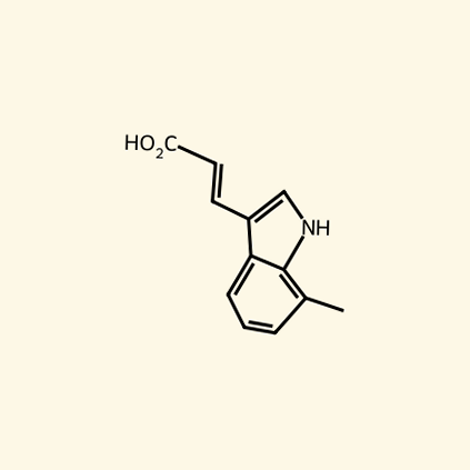 Cc1cccc2c(/C=C/C(=O)O)c[nH]c12